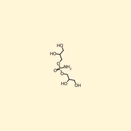 NP(=O)(OCC(O)CO)OCC(O)CO